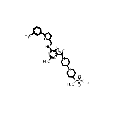 Cc1cccc(C2CCC(CNc3nc(C)nc(C(=O)N4CCC(N5CCC(N(C)S(C)(=O)=O)CC5)CC4)c3C)O2)c1